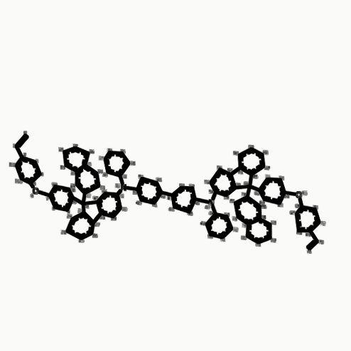 C=Cc1ccc(Oc2ccc(C3(c4ccc5ccccc5c4)c4ccccc4-c4ccc(N(c5ccccc5)c5ccc(-c6ccc(N(c7ccccc7)c7ccc8c(c7)C(c7ccc(Oc9ccc(C=C)cc9)cc7)(c7ccc9ccccc9c7)c7ccccc7-8)cc6)cc5)cc43)cc2)cc1